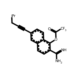 CC(C)CC#Cc1ccc2c(OC(=O)C(F)(F)F)c(C(=N)N)ccc2c1